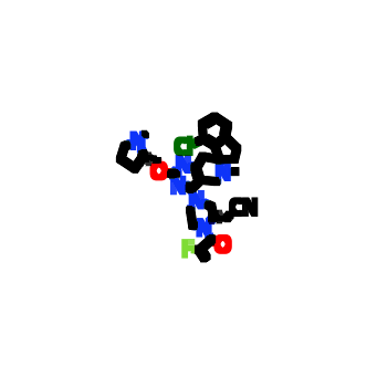 C=C(F)C(=O)N1CCN(c2nc(OC[C@@H]3CCCN3C)nc3c2CN(C)C2(CCc4cccc(Cl)c42)C3)C[C@@H]1CC#N